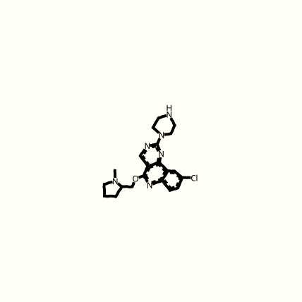 CN1CCCC1COc1nc2ccc(Cl)cc2c2nc(N3CCNCC3)ncc12